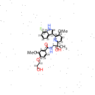 COc1cc(C(=O)NCC(C)(O)c2ccc(OC)c(-c3c[nH]c4c(F)cccc34)n2)ccc1OCCO